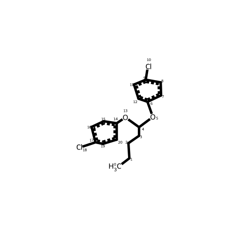 CCCCC(Oc1ccc(Cl)cc1)Oc1ccc(Cl)cc1